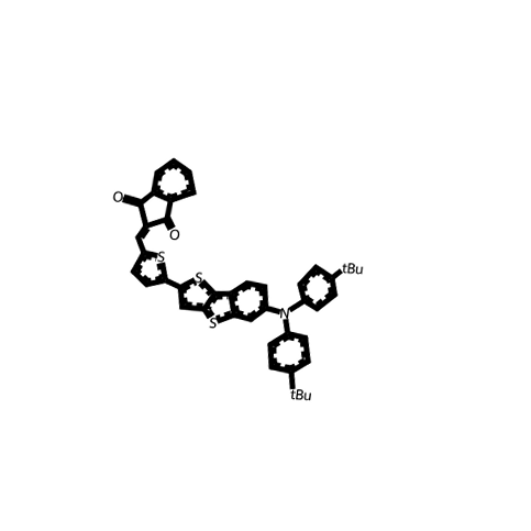 CC(C)(C)c1ccc(N(c2ccc(C(C)(C)C)cc2)c2ccc3c(c2)sc2cc(-c4ccc(C=C5C(=O)c6ccccc6C5=O)s4)sc23)cc1